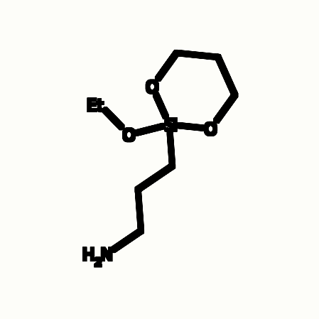 CCO[Si]1(CCCN)OCCCO1